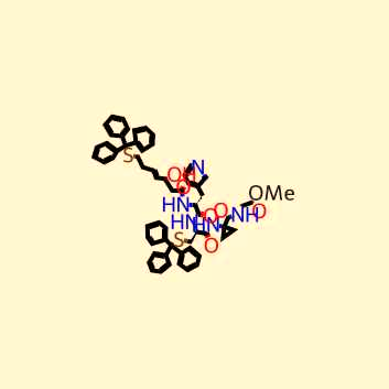 COC(=O)CNC(=O)C1(NC(=O)[C@@H](CSC(c2ccccc2)(c2ccccc2)c2ccccc2)NC(=O)[C@@H](Cc2cccnc2)NC(=O)C[C@H](O)/C=C/CCSC(c2ccccc2)(c2ccccc2)c2ccccc2)CC1